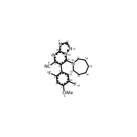 COc1cc(F)c(-c2c(C#N)nc3ncnn3c2N2CCCCCC2)cc1F